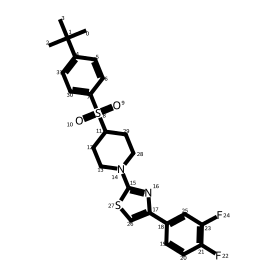 CC(C)(C)c1ccc(S(=O)(=O)C2CCN(c3nc(-c4ccc(F)c(F)c4)cs3)CC2)cc1